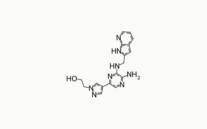 Nc1ncc(-c2cnn(CCO)c2)nc1NCc1cc2cccnc2[nH]1